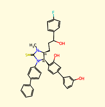 CN1C(=S)N(c2ccc(-c3ccccc3)cc2)[C@H](c2ccc(-c3cccc(O)c3)cc2O)[C@@H]1CCC(O)c1ccc(F)cc1